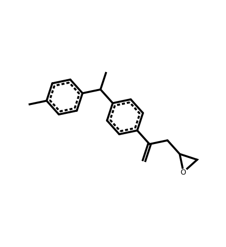 C=C(CC1CO1)c1ccc(C(C)c2ccc(C)cc2)cc1